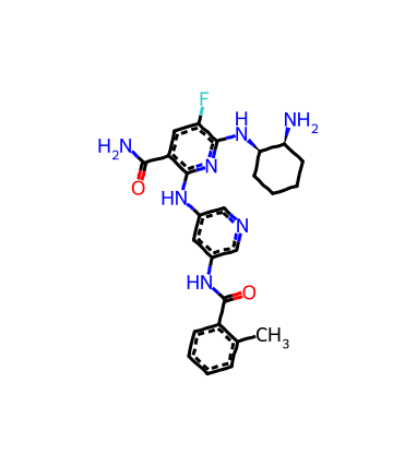 Cc1ccccc1C(=O)Nc1cncc(Nc2nc(N[C@@H]3CCCC[C@@H]3N)c(F)cc2C(N)=O)c1